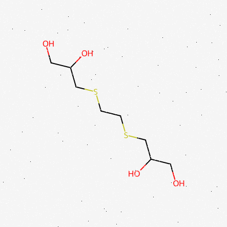 OCC(O)CSCCSCC(O)CO